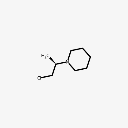 C[C@H](CCl)N1CCCCC1